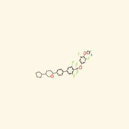 Fc1cc(OC(F)(F)c2c(F)cc(-c3ccc(C4CCC(C5CCCC5)CO4)cc3)cc2F)cc(F)c1OC(F)(F)F